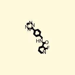 O=C(NCc1ccc(-c2nncnn2)cc1)c1cccnc1F